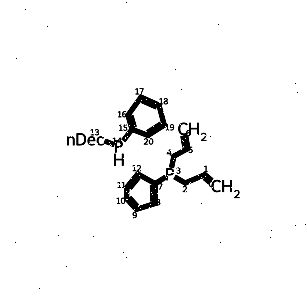 C=CCP(CC=C)c1ccccc1.CCCCCCCCCCPc1ccccc1